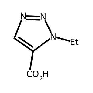 CCn1nncc1C(=O)O